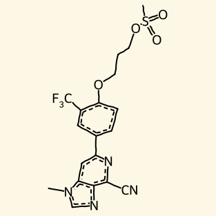 Cn1cnc2c(C#N)nc(-c3ccc(OCCCOS(C)(=O)=O)c(C(F)(F)F)c3)cc21